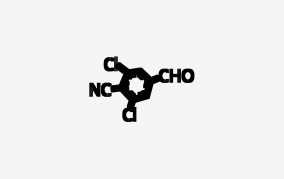 N#Cc1c(Cl)cc(C=O)cc1Cl